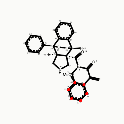 C=C(C(=O)N(Cc1ccccn1)C(=O)[C@]12CNC[C@H]1[C@@]1(c3ccccc3)CC[C@@H]2c2ccccc21)c1ccccc1OC